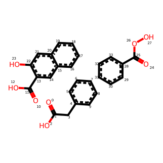 O=C(O)Cc1ccccc1.O=C(O)c1cc2ccccc2cc1O.O=C(OO)c1ccccc1